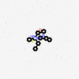 c1ccc(-c2cccc(C3NC(c4ccc5oc6cccc(-n7c8ccccc8c8cc9ccccc9cc87)c6c5c4)Nc4c3sc3ccccc43)c2)cc1